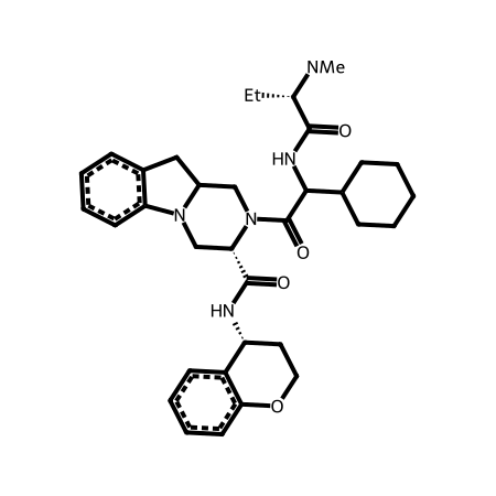 CC[C@H](NC)C(=O)NC(C(=O)N1CC2Cc3ccccc3N2C[C@H]1C(=O)N[C@@H]1CCOc2ccccc21)C1CCCCC1